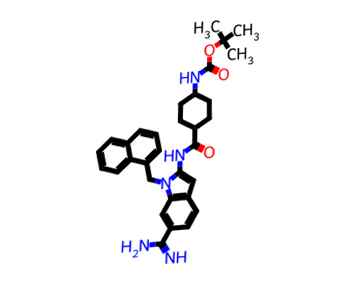 CC(C)(C)OC(=O)NC1CCC(C(=O)Nc2cc3ccc(C(=N)N)cc3n2Cc2cccc3ccccc23)CC1